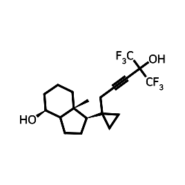 C[C@]12CCC[C@H](O)C1CC[C@@H]2C1(CC#CC(O)(C(F)(F)F)C(F)(F)F)CC1